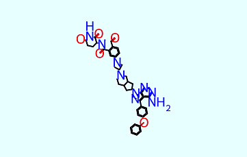 CN(C(=O)c1cc(N2CC(N3CCC4CC(n5nc(-c6ccc(Oc7ccccc7)cc6)c6c(N)ncnc65)CC4C3)C2)ccc1C=O)C1CCC(=O)NC1=O